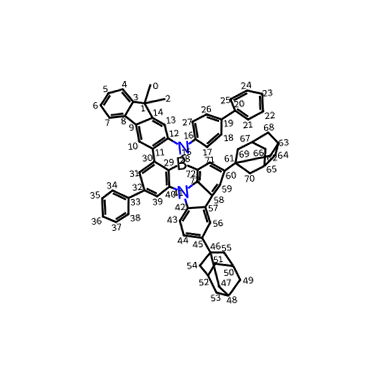 CC1(C)c2ccccc2-c2cc3c(cc21)N(c1ccc(-c2ccccc2)cc1)B1c2c-3cc(-c3ccccc3)cc2-n2c3ccc(C45CC6CC(CC(C6)C4)C5)cc3c3cc(C45CC6CC(CC(C6)C4)C5)cc1c32